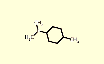 CC1CCC(P(C)C)CC1